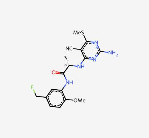 COc1ccc(CF)cc1NC(=O)[C@H](C)Nc1nc(N)nc(SC)c1C#N